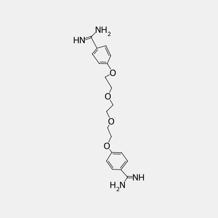 N=C(N)c1ccc(OCCOCCOCCOc2ccc(C(=N)N)cc2)cc1